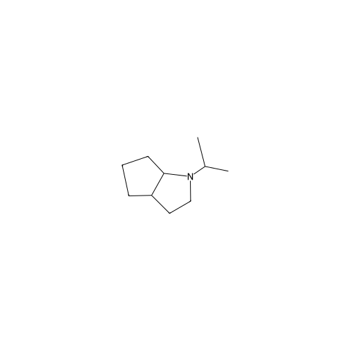 CC(C)N1CCC2CCCC21